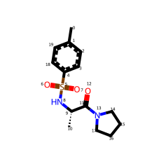 Cc1ccc(S(=O)(=O)N[C@@H](C)C(=O)N2CCCC2)cc1